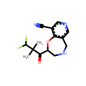 CC(C)(C(=O)C1CNCc2cncc(C#N)c2O1)C(F)F